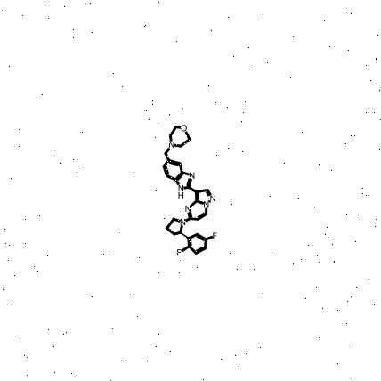 Fc1ccc(F)c([C@H]2CCCN2c2ccn3ncc(-c4nc5cc(CN6CCOCC6)ccc5[nH]4)c3n2)c1